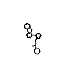 C(=NNC1CCCCC1)c1ccccc1-c1cccc2c1Cc1ccccc1-2